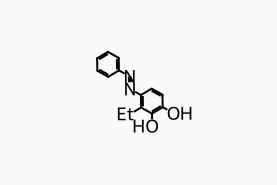 CCc1c(N=Nc2ccccc2)ccc(O)c1O